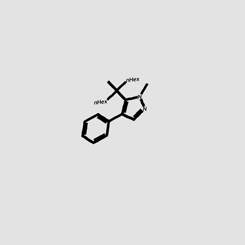 CCCCCCC(C)(CCCCCC)c1c(-c2ccccc2)cnn1C